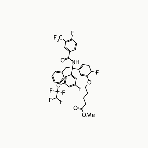 COC(=O)CCCCOC1=CC([C@@](Cc2ccccc2)(NC(=O)c2ccc(F)c(C(F)(F)F)c2)c2cc(F)cc(OC(F)(F)C(F)F)c2)=CCC1F